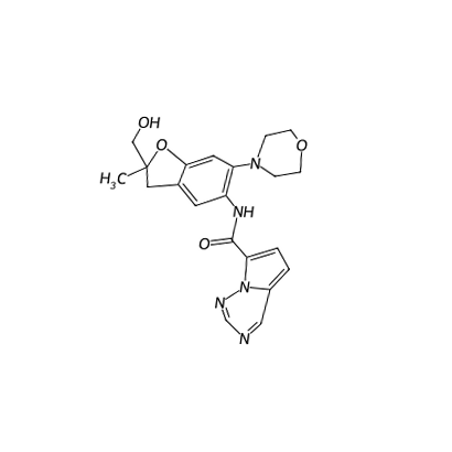 CC1(CO)Cc2cc(NC(=O)c3ccc4cncnn34)c(N3CCOCC3)cc2O1